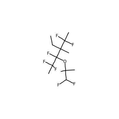 CCC(C)(C(C)(F)F)C(F)(OC(C)(C)C(F)F)C(C)(F)F